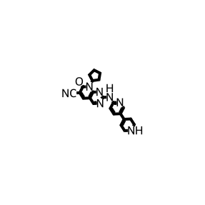 N#Cc1cc2cnc(Nc3ccc(C4=CCNCC4)cn3)nc2n(C2CCCC2)c1=O